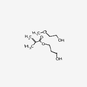 C=C(C)C(=O)OCCCO.COCCO